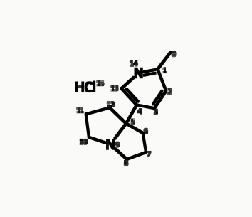 Cc1ccc(C23CCCN2CCC3)cn1.Cl